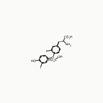 NC(Cc1ccc(Oc2ccc(O)c(I)c2)c(I)c1)C(=O)O.O=S(=O)(O)O